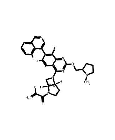 C=C(F)C(=O)N1CC[C@@H]2[C@H]1CN2c1nc(OCC2CCCN2C)nc2c(F)c(-c3cncc4cccc(Cl)c34)c(F)cc12